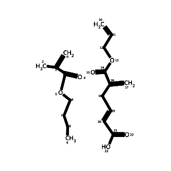 C=C(C)C(=O)OCCCC.C=CCOC(=O)C(=C)CC=CC(=O)O